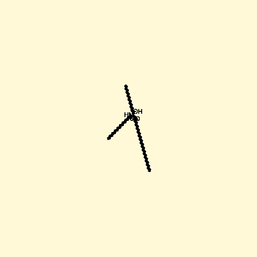 CCCCCCCCCCCCC/C=C/[C@@H](O)[C@H](COC(=O)CCCCCCCCCCCCCCCCCCCCCCCCCCCCC)NC(=O)CCCCCCCCCCCCCCCCC